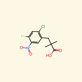 CC(C)(Cc1cc([N+](=O)[O-])c(F)cc1Cl)C(=O)O